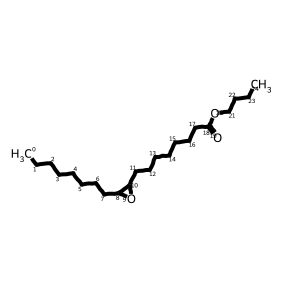 CCCCCCCCC1OC1CCCCCCCC(=O)OCCCC